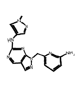 Cn1cc(Nc2ncc3cnn(Cc4cccc(N)n4)c3n2)cn1